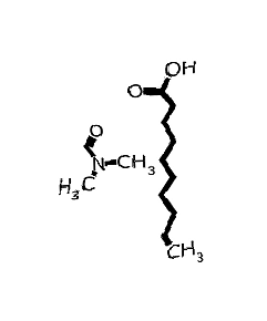 CCCCCCCCCC(=O)O.CN(C)C=O